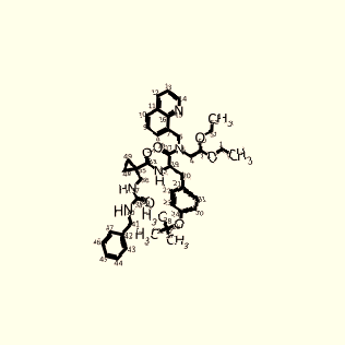 CCOC(CN(Cc1cccc2cccnc12)C(=O)C(Cc1ccc(OC(C)(C)C)cc1)NC(=O)C1(CNC(=O)NCc2ccccc2)CC1)OCC